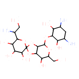 NC1CC(N)C(O)C(OC2OC(CO)C(O)C3OC4(OC(C(N)CO)C(O)C(O)C4O)OC23)C1O